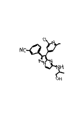 Cc1cc(-c2c(-c3cccc(C#N)c3)nn3ccc(NC(C)CO)nc23)cc(Cl)n1